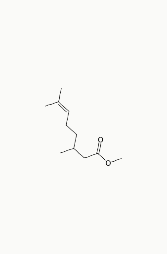 COC(=O)CC(C)CCC=C(C)C